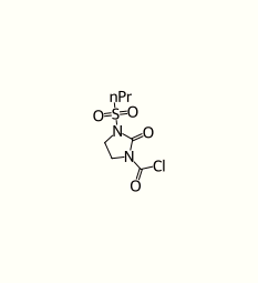 CCCS(=O)(=O)N1CCN(C(=O)Cl)C1=O